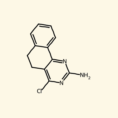 Nc1nc(Cl)c2c(n1)-c1ccccc1CC2